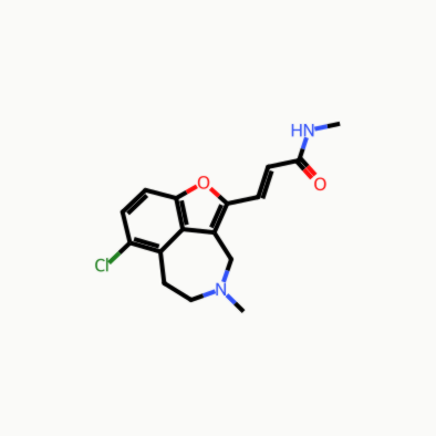 CNC(=O)/C=C/c1oc2ccc(Cl)c3c2c1CN(C)CC3